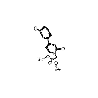 CC(C)OP(=O)(Cn1ccc(-c2cccc(Cl)c2)cc1=O)OC(C)C